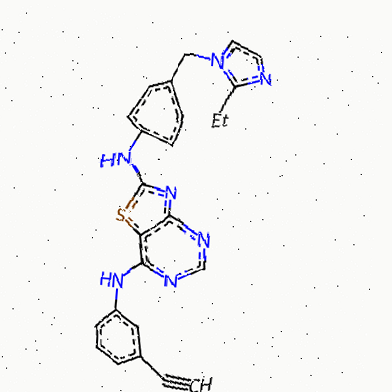 C#Cc1cccc(Nc2ncnc3nc(Nc4ccc(Cn5ccnc5CC)cc4)sc23)c1